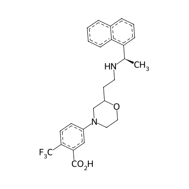 C[C@@H](NCCC1CN(c2ccc(C(F)(F)F)c(C(=O)O)c2)CCO1)c1cccc2ccccc12